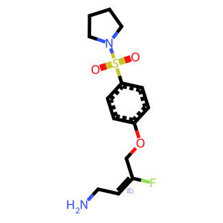 NC/C=C(/F)COc1ccc(S(=O)(=O)N2CCCC2)cc1